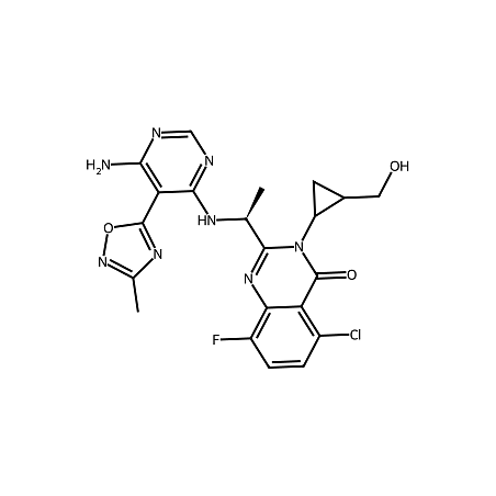 Cc1noc(-c2c(N)ncnc2N[C@@H](C)c2nc3c(F)ccc(Cl)c3c(=O)n2C2CC2CO)n1